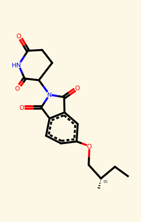 CC[C@H](C)COc1ccc2c(c1)C(=O)N(C1CCC(=O)NC1=O)C2=O